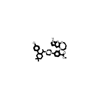 COC(=O)c1ccc(N2CCN(C(C)C3=C(c4ccc(Cl)cc4)CC(C)(C)CC3)CC2)cc1N1CCCCOc2nc3[nH]ccc3cc21